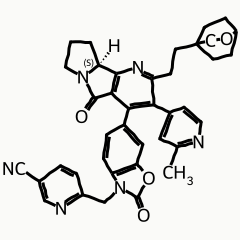 Cc1cc(-c2c(CCC34CCC(CC3)OC4)nc3c(c2-c2ccc4c(c2)oc(=O)n4Cc2ccc(C#N)cn2)C(=O)N2CCC[C@@H]32)ccn1